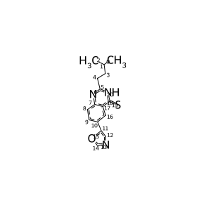 CC(C)CCc1nc2ccc(-c3cnco3)cc2c(=S)[nH]1